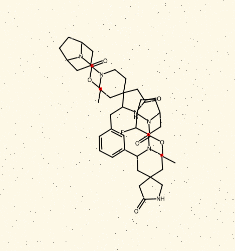 CCOC(=O)N1C2CCC1CC(N1CCC3(CC1)CC(=O)NC3Cc1cccc(C3CC4(CCN3C3CC5CCC(C3F)N5C(=O)OCC)CNC(=O)C4)c1)C2